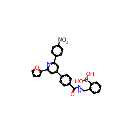 O=C(NCc1ccccc1B(O)O)c1ccc(-c2cc(-c3ccc([N+](=O)[O-])cc3)nc(-c3ccco3)c2)cc1